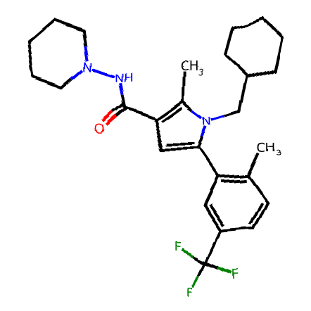 Cc1ccc(C(F)(F)F)cc1-c1cc(C(=O)NN2CCCCC2)c(C)n1CC1CCCCC1